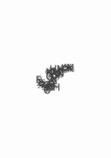 CN1CCCC2(C1)C(=O)N(c1ccc(NS(=O)(=O)Cc3ccc(F)cc3)c(F)c1)Cc1cnc(NC3CCC(N(C)C)CC3)nc12